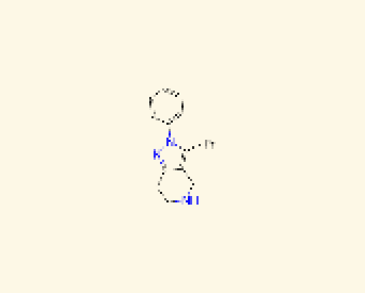 CC(C)c1c2c(nn1-c1ccccc1)CCNC2